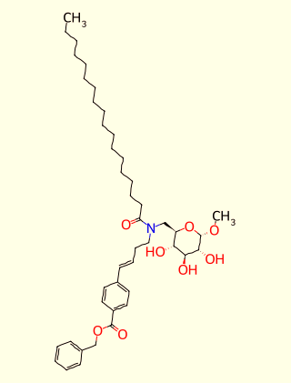 CCCCCCCCCCCCCCCCCC(=O)N(CCC=Cc1ccc(C(=O)OCc2ccccc2)cc1)C[C@H]1O[C@H](OC)[C@H](O)[C@@H](O)[C@@H]1O